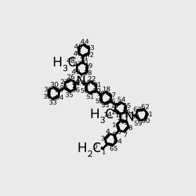 C=Cc1ccc(-c2ccc3c(c2)c2c(C)c(-c4ccc(-c5ccc(N(c6ccc(-c7ccccc7)cc6)C6C=CC(c7ccccc7)C(C)C6)cc5)cc4)ccc2n3-c2ccccc2)cc1